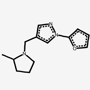 CC1CCCN1Cc1cnn(-c2ccco2)c1